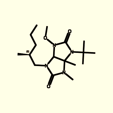 CCC[C@H](C)CN1C(=O)N(C)C2(C)C1N(OC)C(=O)N2C(C)(C)C